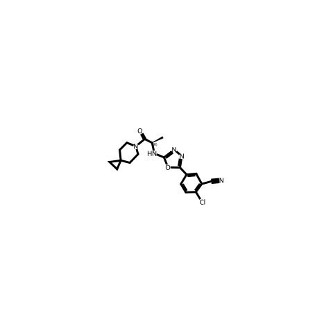 C[C@@H](Nc1nnc(-c2ccc(Cl)c(C#N)c2)o1)C(=O)N1CCC2(CC1)CC2